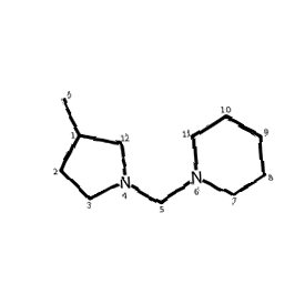 CC1CCN(CN2CCCCC2)C1